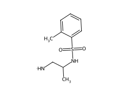 Cc1ccccc1S(=O)(=O)NC(C)C[NH]